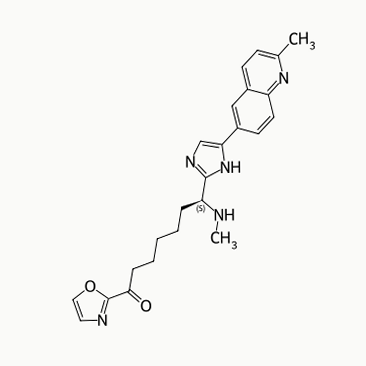 CN[C@@H](CCCCCC(=O)c1ncco1)c1ncc(-c2ccc3nc(C)ccc3c2)[nH]1